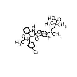 CC(=O)N(c1ccc(Cl)cc1)[C@@H]1CC(C)(C(=O)c2ccc(C(C)CCC(C)(C)C(=O)O)c(F)c2)Nc2ccccc21